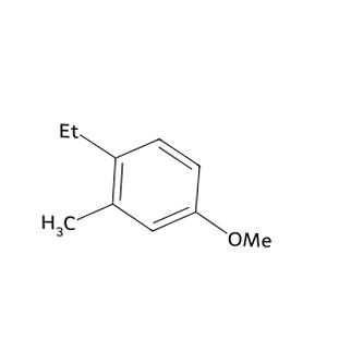 [CH2]Cc1ccc(OC)cc1C